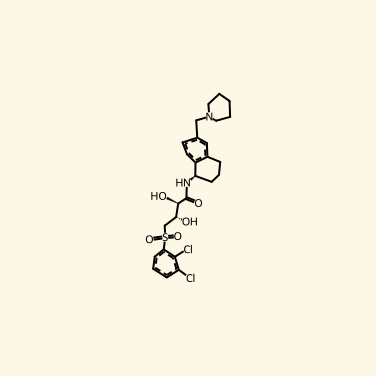 O=C(N[C@@H]1CCCc2cc(CN3CCCCC3)ccc21)[C@H](O)[C@H](O)CS(=O)(=O)c1cccc(Cl)c1Cl